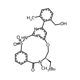 Cc1cccc(CO)c1-c1cc2nc(n1)NS(=O)(=O)c1cccc(c1)C(=O)N(C)[C@H](CC(C)(C)C)CO2